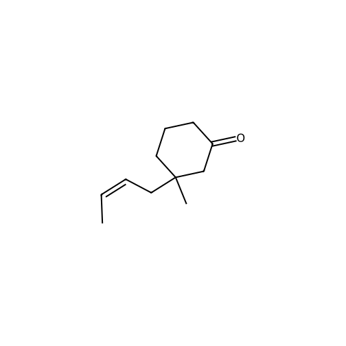 C/C=C\CC1(C)CCCC(=O)C1